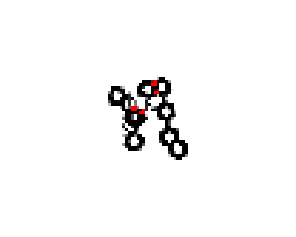 c1ccc(-c2ccc(-c3ccc4ccccc4c3)cc2N(c2ccc3sc4ccccc4c3c2)c2ccccc2-n2c3ccccc3c3ccccc32)cc1